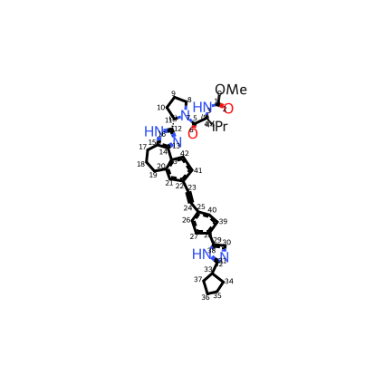 COC(=O)N[C@H](C(=O)N1CCC[C@H]1c1nc2c([nH]1)CCCc1cc(C#Cc3ccc(-c4cnc(C5CCCC5)[nH]4)cc3)ccc1-2)C(C)C